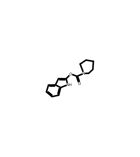 O=C(Oc1cc2ccccc2[nH]1)N1CCCCC1